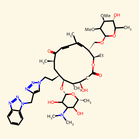 CC[C@H]1OC(=O)C[C@@H](O)[C@H](C)[C@@H](O[C@@H]2O[C@H](C)[C@@H](O)C(N(C)C)C2O)[C@@H](CCn2cc(Cn3nnc4ccccc43)nn2)C[C@@H](C)C(=O)/C=C/C(C)=C/[C@@H]1CO[C@@H]1OC(C)[C@@H](O)[C@H](OC)C1OC